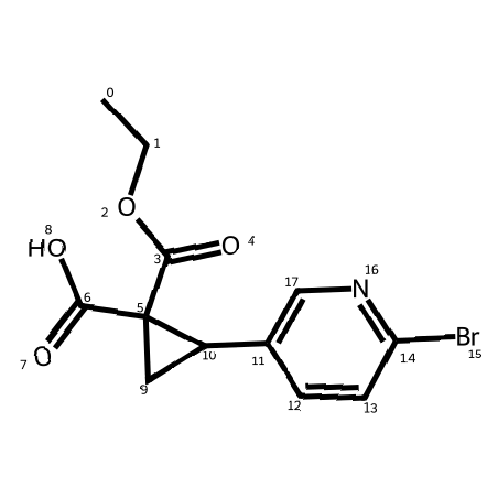 CCOC(=O)C1(C(=O)O)CC1c1ccc(Br)nc1